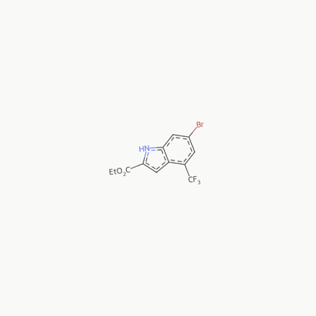 CCOC(=O)c1cc2c(C(F)(F)F)cc(Br)cc2[nH]1